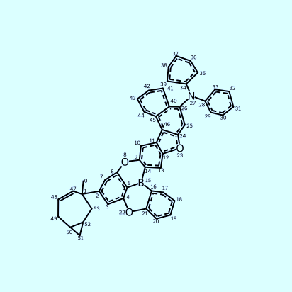 CC1(c2cc3c4c(c2)Oc2cc5c(cc2B4c2ccccc2O3)oc2cc(N(c3ccccc3)c3ccccc3)c3ccccc3c25)C=CCC2CC2C1